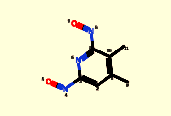 Cc1cc(N=O)nc(N=O)c1C